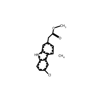 C.COC(=O)Cc1ccc2c(c1)[nH]c1ccc(Cl)cc12